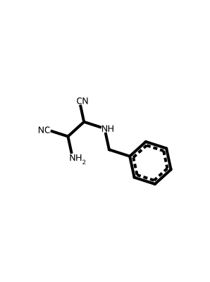 N#CC(N)C(C#N)NCc1ccccc1